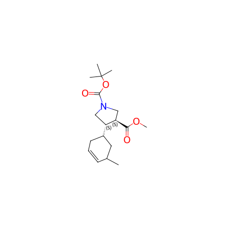 COC(=O)[C@@H]1CN(C(=O)OC(C)(C)C)C[C@H]1C1CC=CC(C)C1